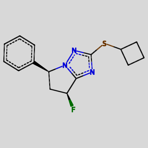 F[C@H]1C[C@@H](c2ccccc2)n2nc(SC3CCC3)nc21